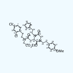 CCOC(=O)CN(CCc1ccc(Cl)cc1Cl)C(=O)CC1C(=O)N(CCc2ccc(OC)cc2)CC(=O)N1CCc1cccs1